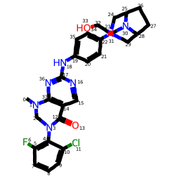 CN1CN(c2c(F)cccc2Cl)C(=O)c2cnc(Nc3ccc(N4CC5CCC(C4)N5CCO)cc3)nc21